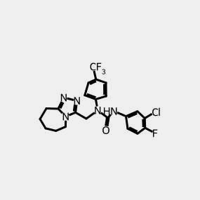 O=C(Nc1ccc(F)c(Cl)c1)N(Cc1nnc2n1CCCCC2)c1ccc(C(F)(F)F)cc1